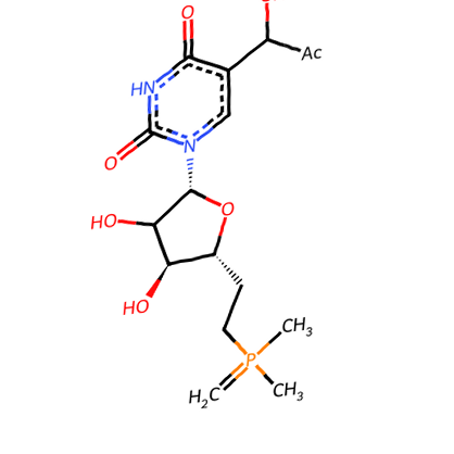 C=P(C)(C)CC[C@H]1O[C@@H](n2cc(C(O)C(C)=O)c(=O)[nH]c2=O)C(O)[C@@H]1O